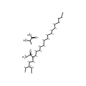 CC(O)C(=O)O.CCCCCCCCCCCCCCCCC(CCN(CC)CC)C(N)=O